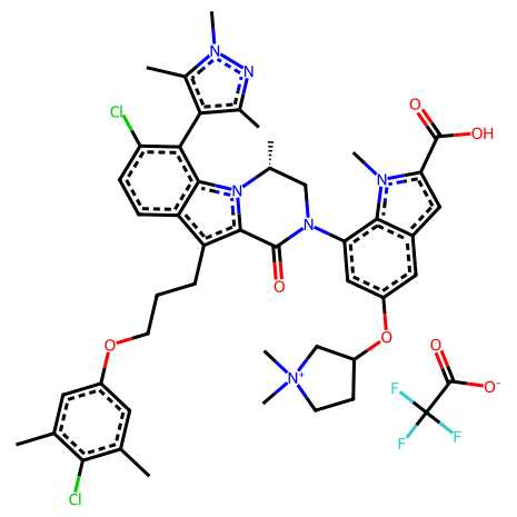 Cc1cc(OCCCc2c3n(c4c(-c5c(C)nn(C)c5C)c(Cl)ccc24)[C@H](C)CN(c2cc(OC4CC[N+](C)(C)C4)cc4cc(C(=O)O)n(C)c24)C3=O)cc(C)c1Cl.O=C([O-])C(F)(F)F